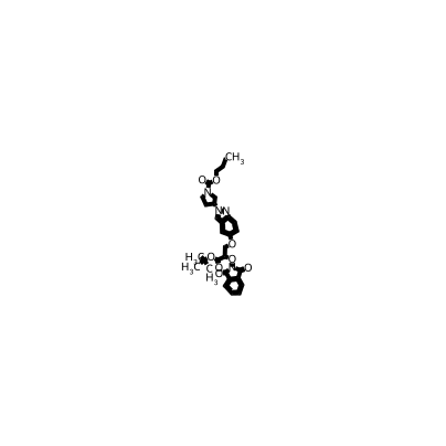 CCCCOC(=O)N1CCC(n2cc3cc(OCC(ON4C(=O)c5ccccc5C4=O)C(=O)OC(C)(C)C)ccc3n2)C1